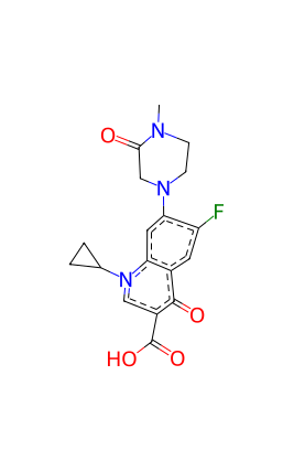 CN1CCN(c2cc3c(cc2F)c(=O)c(C(=O)O)cn3C2CC2)CC1=O